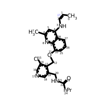 C/C=C\Nc1cc(C)nc2c(OCc3c(Cl)cncc3CNC(=O)CCC)cccc12